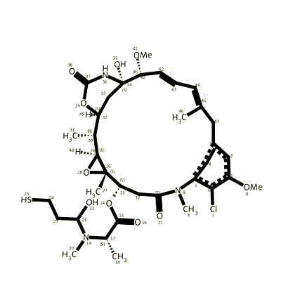 COc1cc2cc(c1Cl)N(C)C(=O)C[C@H](OC(=O)[C@H](C)N(C)C(O)CCS)[C@]1(C)O[C@H]1[C@H](C)[C@@H]1C[C@@](O)(NC(=O)O1)[C@H](OC)/C=C/C=C(\C)C2